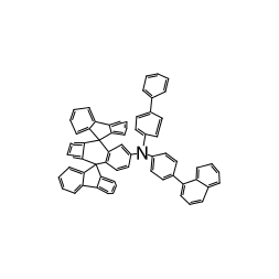 c1ccc(-c2ccc(N(c3ccc(-c4cccc5ccccc45)cc3)c3ccc4c(c3)C3(c5ccccc5-c5ccccc53)c3ccccc3C43c4ccccc4-c4ccccc43)cc2)cc1